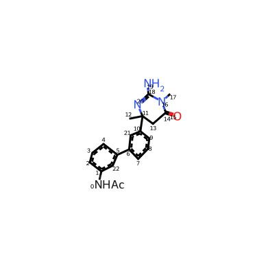 CC(=O)Nc1cccc(-c2cccc(C3(C)CC(=O)N(C)C(N)=N3)c2)c1